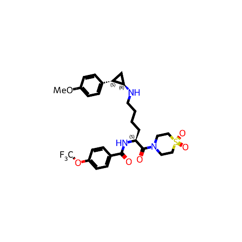 COc1ccc([C@@H]2C[C@H]2NCCCC[C@H](NC(=O)c2ccc(OC(F)(F)F)cc2)C(=O)N2CCS(=O)(=O)CC2)cc1